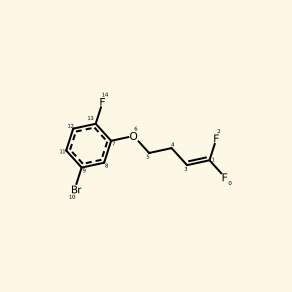 FC(F)=CCCOc1cc(Br)ccc1F